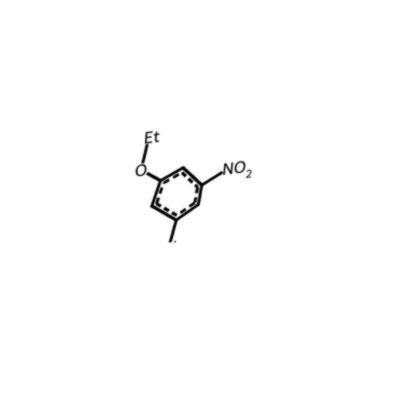 [CH2]c1cc(OCC)cc([N+](=O)[O-])c1